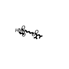 CC(C)CC(C(=O)OCCCCCn1c(=O)cc[nH]c1=O)C(C)C